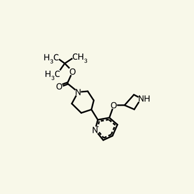 CC(C)(C)OC(=O)N1CCC(c2ncccc2OC2CNC2)CC1